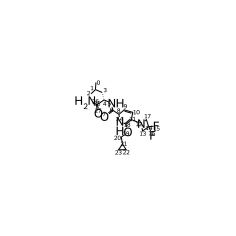 CC(C)C[C@H](NC(=O)C1C=CC(N2CC(F)(F)C2)=C(OCC2CC2)N1)C(N)=O